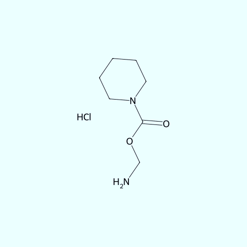 Cl.NCOC(=O)N1CCCCC1